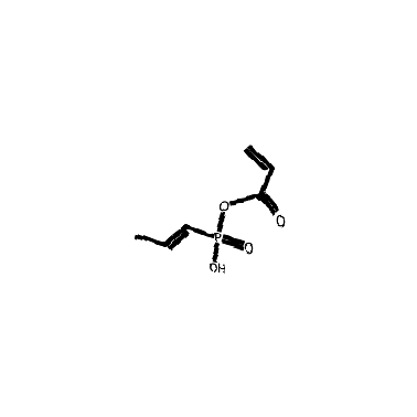 C=CC(=O)OP(=O)(O)C=CC